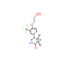 O=C1NN=C(c2ccc(OCCO)c(C(F)(F)F)c2)[C@@H]2C[C@H]12